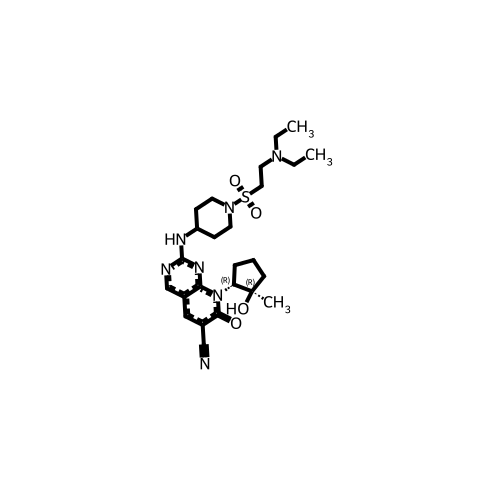 CCN(CC)CCS(=O)(=O)N1CCC(Nc2ncc3cc(C#N)c(=O)n([C@@H]4CCC[C@@]4(C)O)c3n2)CC1